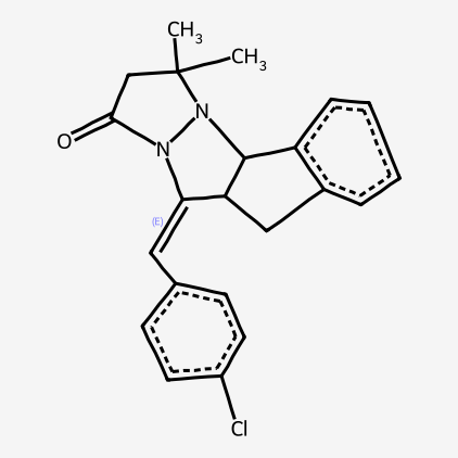 CC1(C)CC(=O)N2/C(=C/c3ccc(Cl)cc3)C3Cc4ccccc4C3N21